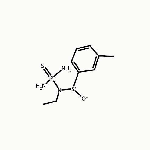 CCN([S+]([O-])c1cccc(C)c1)P(N)(N)=S